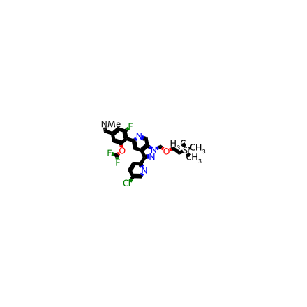 CNCc1cc(F)c(-c2cc3c(-c4ccc(Cl)cn4)nn(COCC[Si](C)(C)C)c3cn2)c(OC(F)F)c1